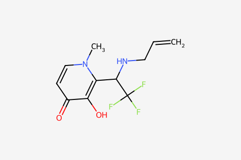 C=CCNC(c1c(O)c(=O)ccn1C)C(F)(F)F